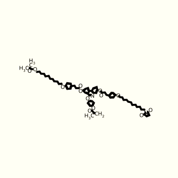 C=C(C)C(=O)Oc1ccc(Oc2nc3cc(OC(=O)CCc4ccc(OCCCCCCCCCCCCN5C(=O)C=CC5=O)cc4)ccc3c3ccc(OC(=O)CCc4ccc(OCCCCCCCCCCCCOC5OC5(C)C)cc4)cc23)cc1